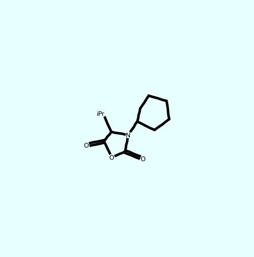 CC(C)C1C(=O)OC(=O)N1C1CCCCC1